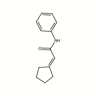 O=C(C=C1CCCC1)Nc1ccccc1